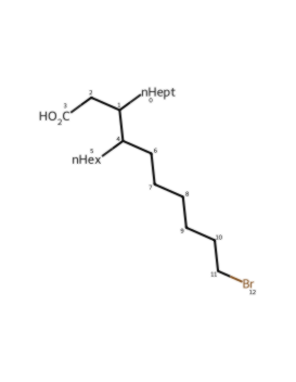 CCCCCCCC(CC(=O)O)C(CCCCCC)CCCCCCBr